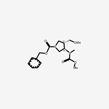 COC[C@H]1CN(C(=O)OCc2ccccc2)C[C@@H]1N(C)C(=O)OC(C)(C)C